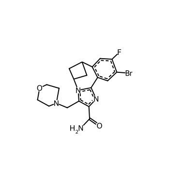 NC(=O)c1nc2n(c1CN1CCOCC1)C1CC(C1)c1cc(F)c(Br)cc1-2